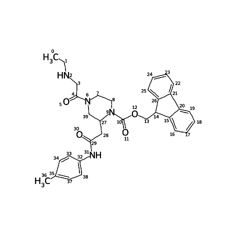 CCNCC(=O)N1CCN(C(=O)OCC2c3ccccc3-c3ccccc32)C(CC(=O)Nc2ccc(C)cc2)C1